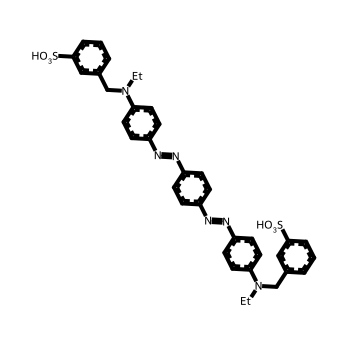 CCN(Cc1cccc(S(=O)(=O)O)c1)c1ccc(/N=N/c2ccc(/N=N/c3ccc(N(CC)Cc4cccc(S(=O)(=O)O)c4)cc3)cc2)cc1